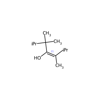 C/C(=C(\O)C(C)(C)C(C)C)C(C)C